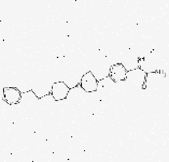 NC(=O)N(S)c1ccc(N2CCN(C3CCN(CCc4ccccc4)CC3)CC2)cc1